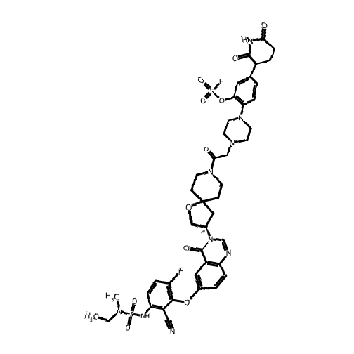 CCN(C)S(=O)(=O)Nc1ccc(F)c(Oc2ccc3ncn([C@H]4COC5(CCN(C(=O)CN6CCN(c7ccc(C8CCC(=O)NC8=O)cc7OS(=O)(=O)F)CC6)CC5)C4)c(=O)c3c2)c1C#N